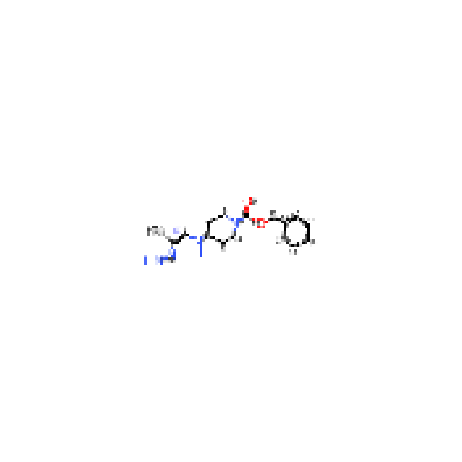 CC(C)(C)/C(=C/NC1CCN(C(=O)OCc2ccccc2)CC1)N=N